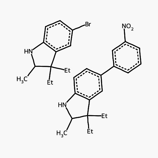 CCC1(CC)c2cc(-c3cccc([N+](=O)[O-])c3)ccc2NC1C.CCC1(CC)c2cc(Br)ccc2NC1C